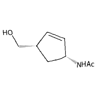 CC(=O)N[C@H]1C=C[C@@H](CO)C1